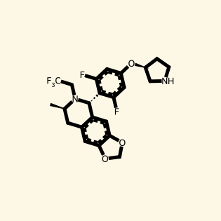 C[C@@H]1Cc2cc3c(cc2[C@@H](c2c(F)cc(O[C@H]4CCNC4)cc2F)N1CC(F)(F)F)OCO3